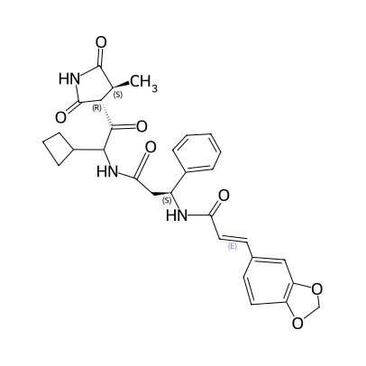 C[C@@H]1C(=O)NC(=O)[C@H]1C(=O)C(NC(=O)C[C@H](NC(=O)/C=C/c1ccc2c(c1)OCO2)c1ccccc1)C1CCC1